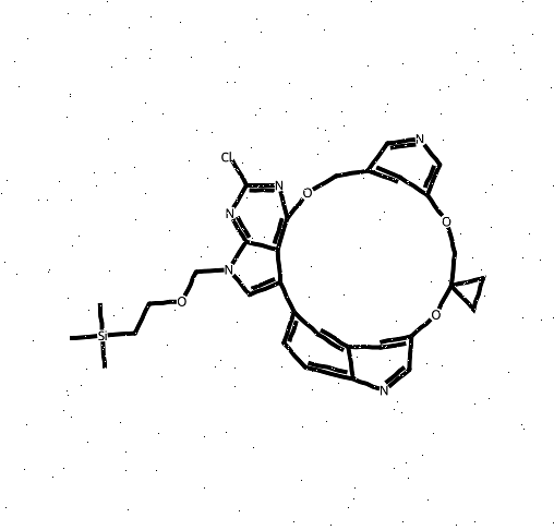 C[Si](C)(C)CCOCn1cc2c3c(nc(Cl)nc31)OCc1cncc(c1)OCC1(CC1)Oc1cnc3ccc-2cc3c1